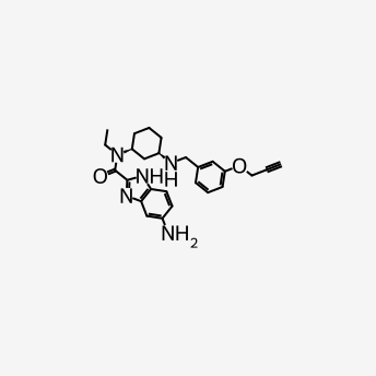 C#CCOc1cccc(CN[C@@H]2CCC[C@H](N(CC)C(=O)c3nc4cc(N)ccc4[nH]3)C2)c1